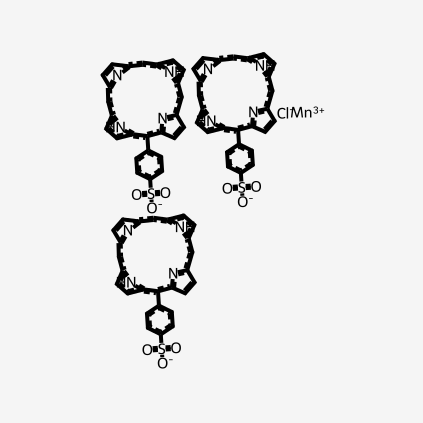 O=S(=O)([O-])c1ccc(-c2c3nc(cc4ccc(cc5nc(cc6ccc2[nH]6)C=C5)[nH]4)C=C3)cc1.O=S(=O)([O-])c1ccc(-c2c3nc(cc4ccc(cc5nc(cc6ccc2[nH]6)C=C5)[nH]4)C=C3)cc1.O=S(=O)([O-])c1ccc(-c2c3nc(cc4ccc(cc5nc(cc6ccc2[nH]6)C=C5)[nH]4)C=C3)cc1.[Cl-].[Mn+3]